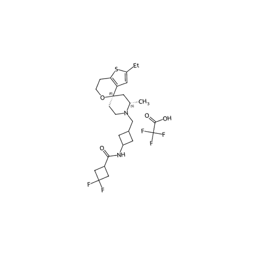 CCc1cc2c(s1)CCO[C@@]21CCN(CC2CC(NC(=O)C3CC(F)(F)C3)C2)[C@@H](C)C1.O=C(O)C(F)(F)F